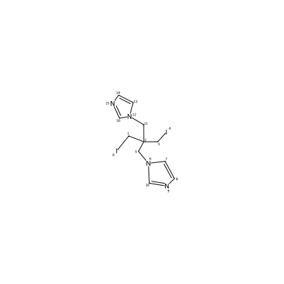 ICC(CI)(Cn1ccnc1)Cn1ccnc1